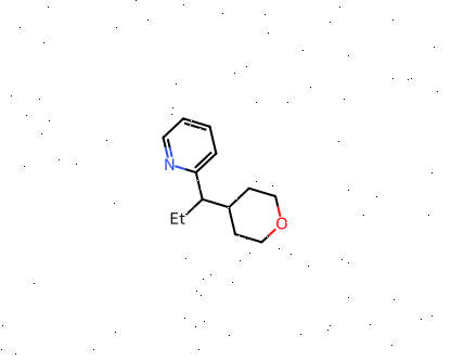 CCC(c1ccccn1)C1CCOCC1